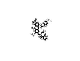 CC[C@@H]1CN(Cc2cc([C@H](CC(=O)Nc3ccc(C)nc3)c3ccc4c(nnn4CC)c3C)ccc2C)S(=O)(=O)c2cccnc2O1